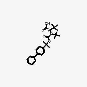 CC(C)(OC(=O)N1[C@H](C(=O)O)C(C)(C)SC1(C)C)c1ccc(-c2ccccc2)cc1